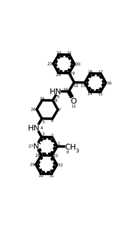 Cc1cc(NC2CCC(NC(=O)C(c3ccccc3)c3ccccc3)CC2)nc2ccccc12